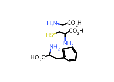 NC(CS)C(=O)O.NC(Cc1ccccc1)C(=O)O.NCC(=O)O